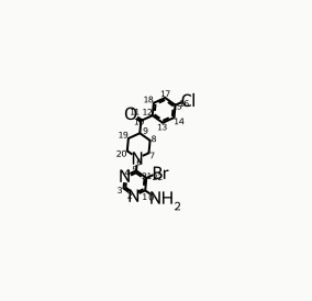 Nc1ncnc(N2CCC(C(=O)c3ccc(Cl)cc3)CC2)c1Br